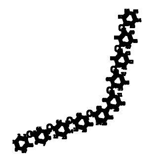 c1ccc(Oc2cccc(Oc3cccc(Oc4cccc(Oc5cccc(-c6cccc(Oc7cccc(Oc8cccc(Oc9cccc(Oc%10ccccc%10)c9)c8)c7)c6)c5)c4)c3)c2)cc1